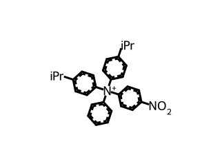 CC(C)c1ccc([N+](c2ccccc2)(c2ccc(C(C)C)cc2)c2ccc([N+](=O)[O-])cc2)cc1